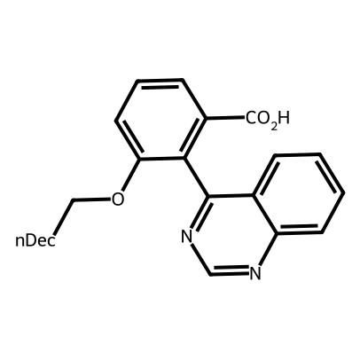 CCCCCCCCCCCOc1cccc(C(=O)O)c1-c1ncnc2ccccc12